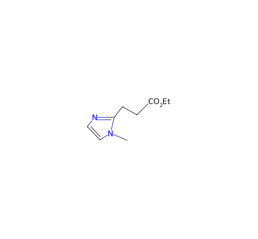 CCOC(=O)CCc1nccn1C